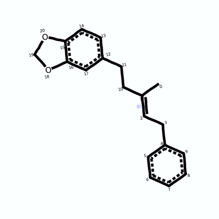 C/C(=C\Cc1ccccc1)CCc1ccc2c(c1)OCO2